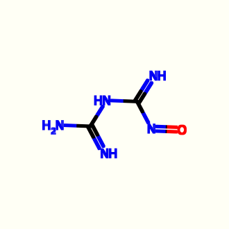 N=C(N)NC(=N)N=O